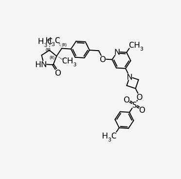 Cc1ccc(S(=O)(=O)OC2CN(c3cc(C)nc(OCc4ccc([C@@H](C)[C@@]5(C)C(=O)NC[C@@H]5C)cc4)c3)C2)cc1